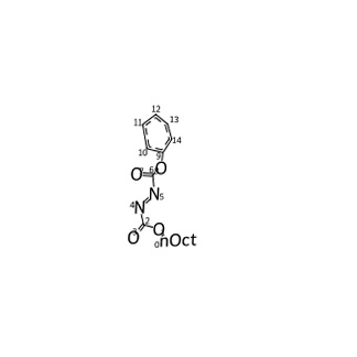 CCCCCCCCOC(=O)N=NC(=O)Oc1ccccc1